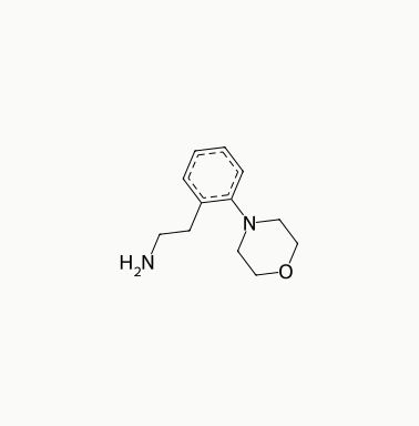 NCCc1ccccc1N1CCOCC1